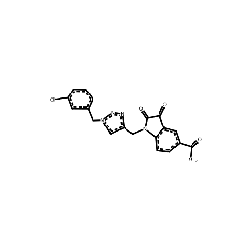 NC(=O)c1ccc2c(c1)C(=O)C(=O)N2Cc1cn(Cc2cccc(Cl)c2)nn1